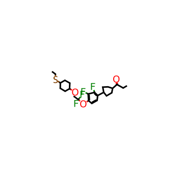 CCSC1CCC(OCC(F)(F)Oc2ccc(C3CCC(C(=O)CC)CC3)c(F)c2F)CC1